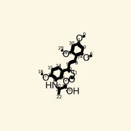 COc1cc(OC)c(C=CC(=S=O)c2ccc(OC)c(NC(C)C(=O)O)c2)c(OC)c1